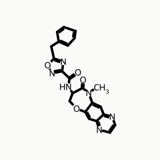 CN1C(=O)C(NC(=O)c2noc(Cc3ccccc3)n2)COc2cc3nccnc3cc21